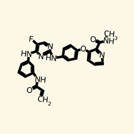 C=CC(=O)Nc1cccc(Nc2nc(Nc3ccc(Oc4cccnc4C(=O)NC)cc3)ncc2F)c1